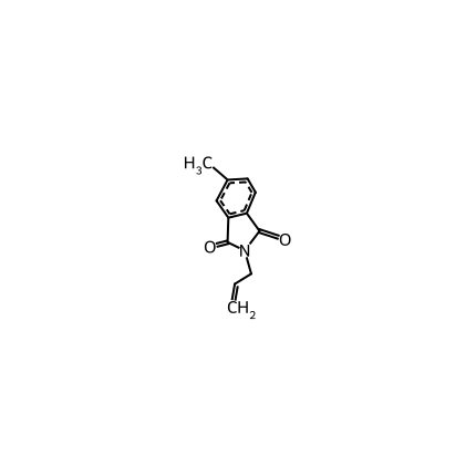 C=CCN1C(=O)c2ccc(C)cc2C1=O